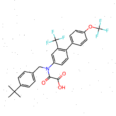 CC(C)(C)c1ccc(CN(C(=O)C(=O)O)c2ccc(-c3ccc(OC(F)(F)F)cc3)c(C(F)(F)F)c2)cc1